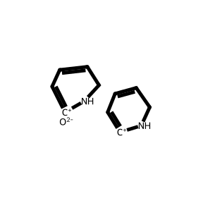 [C+]1=CC=CCN1.[C+]1=CC=CCN1.[O-2]